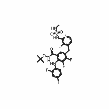 CNS(=O)(=O)Nc1nccc(Cc2cc(C(=O)NOC(C)(C)C)c(Nc3ccc(I)cc3F)c(F)c2F)c1F